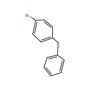 Brc1ccc([CH]c2ccccc2)cc1